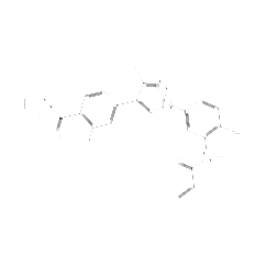 C=CC(=O)Nc1cc(-n2cc(-c3ccc(C(N)=O)c(F)c3)c(C)n2)ccc1F